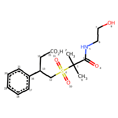 CC(C)(C(=O)NCCO)S(=O)(=O)CC(CC(=O)O)c1ccccc1